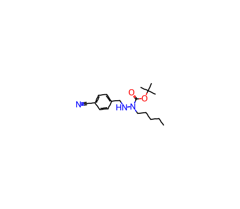 CCCCCN(NCc1ccc(C#N)cc1)C(=O)OC(C)(C)C